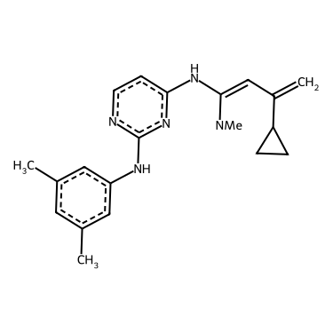 C=C(/C=C(\NC)Nc1ccnc(Nc2cc(C)cc(C)c2)n1)C1CC1